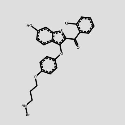 CCNCCCOc1ccc(Oc2c(C(=O)c3ccccc3Cl)sc3cc(O)ccc23)cc1